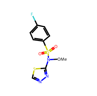 CON(c1nncs1)S(=O)(=O)c1ccc(F)cc1